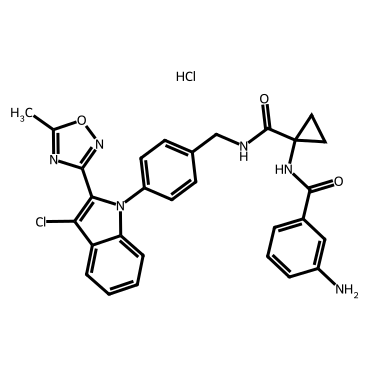 Cc1nc(-c2c(Cl)c3ccccc3n2-c2ccc(CNC(=O)C3(NC(=O)c4cccc(N)c4)CC3)cc2)no1.Cl